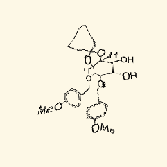 COc1ccc(CO[C@@H]2[C@@H]3OC4(CCCCC4)O[C@@H]3[C@@H](O)[C@H](O)[C@H]2OCc2ccc(OC)cc2)cc1